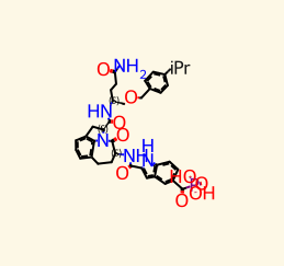 CC(C)c1ccc(COC[C@H](CCC(N)=O)NC(=O)[C@@H]2Cc3cccc4c3N2C(=O)[C@@H](NC(=O)c2cc3cc(C(=O)P(=O)(O)O)ccc3[nH]2)CC4)cc1